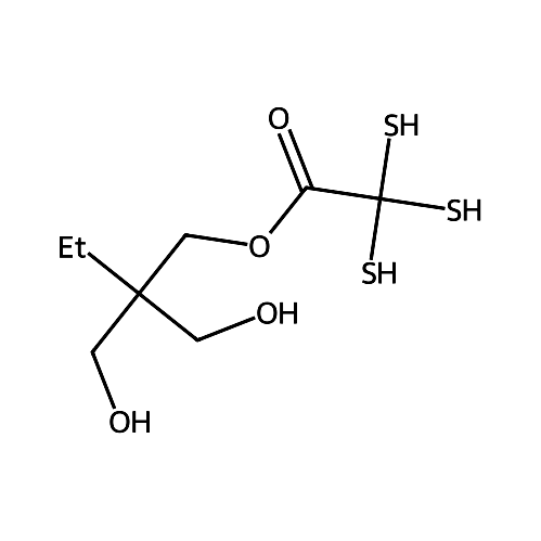 CCC(CO)(CO)COC(=O)C(S)(S)S